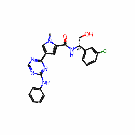 Cn1cc(-c2ncnc(Nc3ccccc3)n2)cc1C(=O)N[C@H](CO)c1cccc(Cl)c1